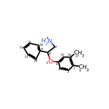 Cc1ccc(OC(CN)c2ccccc2)cc1C